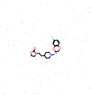 O=C1OCCN1CCC1CCN(C[C@H]2COc3ccc(F)cc3O2)CC1